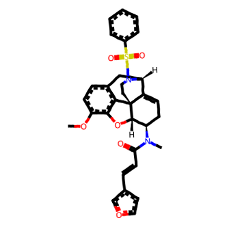 COc1ccc2c3c1O[C@H]1[C@H](N(C)C(=O)/C=C/c4ccoc4)CC=C4[C@@H](C2)N(S(=O)(=O)c2ccccc2)CC[C@]431